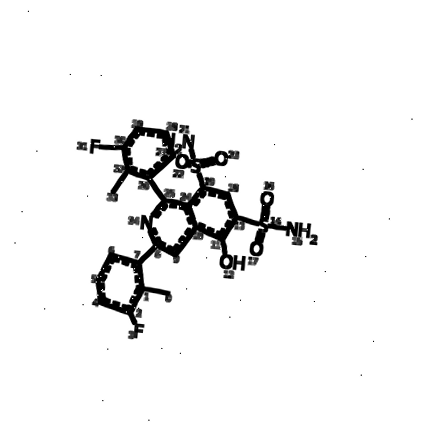 Cc1c(F)cccc1-c1cc2c(O)c(S(N)(=O)=O)cc(S(N)(=O)=O)c2c(-c2cccc(F)c2C)n1